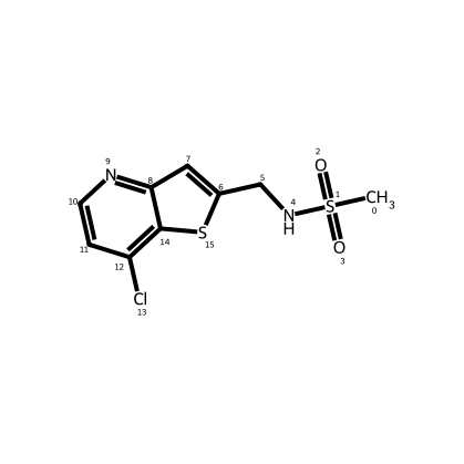 CS(=O)(=O)NCc1cc2nccc(Cl)c2s1